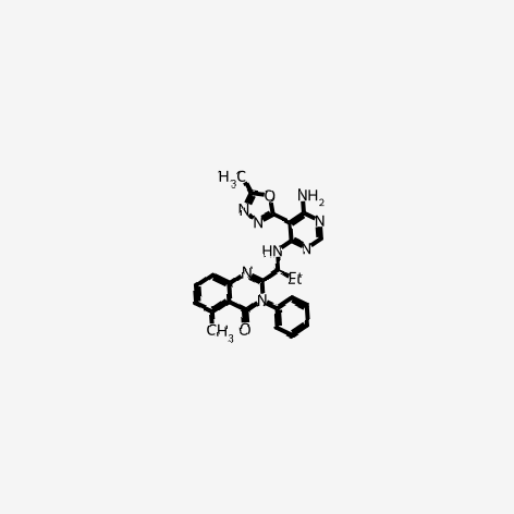 CC[C@H](Nc1ncnc(N)c1-c1nnc(C)o1)c1nc2cccc(C)c2c(=O)n1-c1ccccc1